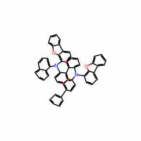 c1ccc(-c2ccc(N(c3ccccc3-c3ccccc3N(c3cccc4ccccc34)c3cccc4c3oc3ccccc34)c3cccc4c3oc3ccccc34)cc2)cc1